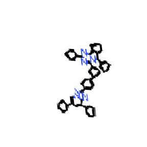 c1ccc(-c2cc(-c3ccccc3)c3nc(-c4ccc(-c5cccc(-c6nc(-c7ccccc7)nc7c8ccccc8c(-c8ccccc8)n67)c5)cc4)nn3c2)cc1